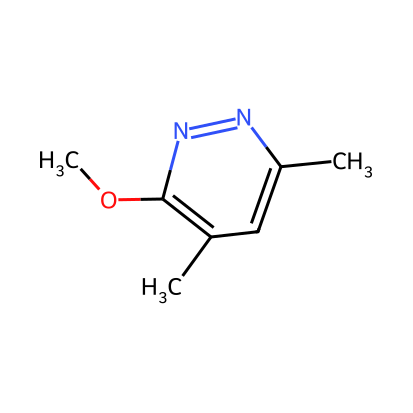 COc1nnc(C)cc1C